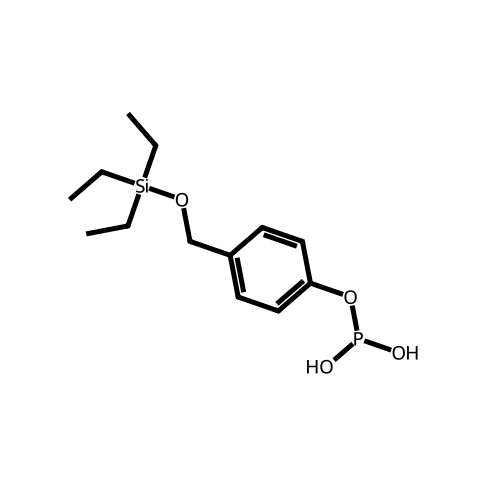 CC[Si](CC)(CC)OCc1ccc(OP(O)O)cc1